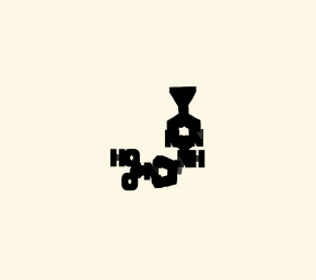 O=C(O)N1CC[C@@H](Nc2ncc(C3CC3)cn2)C1